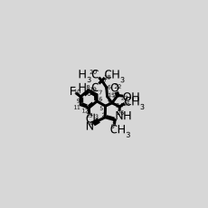 CC1=C(C#N)C(c2ccc(F)cc2Cl)C(CCC(C)(C)C)(C(=O)O)C(C)N1